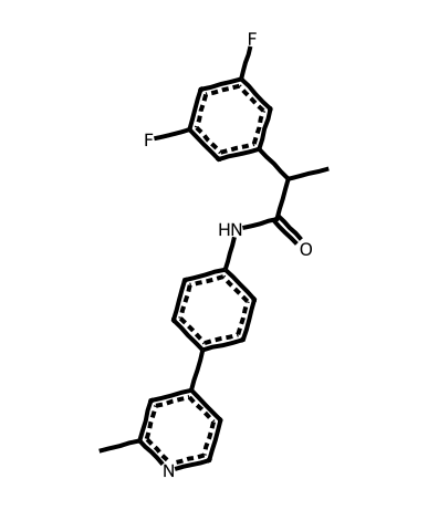 Cc1cc(-c2ccc(NC(=O)C(C)c3cc(F)cc(F)c3)cc2)ccn1